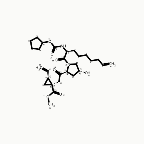 C=CCCCCC[C@H](NC(=O)OC1CCCC1)C(=O)N1C[C@H](O)C[C@H]1C(=O)C[C@]1(C(=O)OC)C[C@H]1C=C